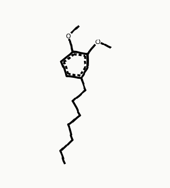 CCCCCCCc1ccc(OC)c(OC)c1